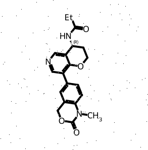 CCC(=O)N[C@@H]1CCOc2c(-c3ccc4c(c3)COC(=O)N4C)cncc21